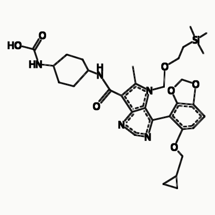 Cc1c(C(=O)NC2CCC(NC(=O)O)CC2)c2ncnc(-c3c(OCC4CC4)ccc4c3OCO4)c2n1COCC[Si](C)(C)C